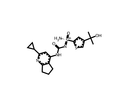 CC(C)(O)c1csc([S@](N)(=O)=NC(=O)Nc2cc(C3CC3)nc3c2CCC3)c1